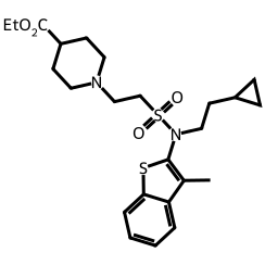 CCOC(=O)C1CCN(CCS(=O)(=O)N(CCC2CC2)c2sc3ccccc3c2C)CC1